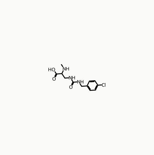 CNC(CNC(=O)NCc1ccc(Cl)cc1)C(=O)O